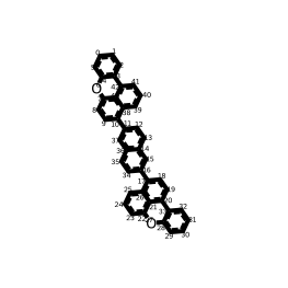 c1ccc2c(c1)Oc1ccc(-c3ccc4cc(-c5ccc6c7c(cccc57)Oc5ccccc5-6)ccc4c3)c3cccc-2c13